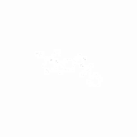 CC(C)c1cc2cc3c(cnn3S(=O)(=O)c3ccccc3)cc2n1[C@@H](C)C(C)F